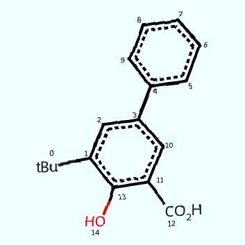 CC(C)(C)c1cc(-c2ccccc2)cc(C(=O)O)c1O